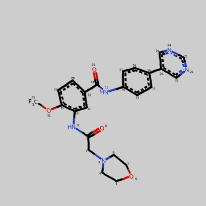 O=C(CN1CCOCC1)Nc1cc(C(=O)Nc2ccc(-c3cncnc3)cc2)ccc1OC(F)(F)F